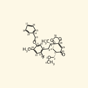 COC[C@@H]1C[C@]2([C@@H](C)Cc3cc(OCc4ccccc4)c(C)cc3F)OCOC2=CC1=O